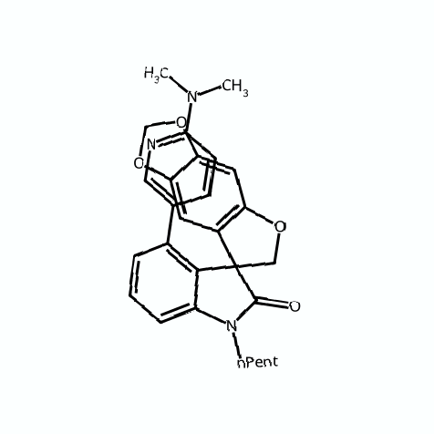 CCCCCN1C(=O)C2(COc3cc4c(cc32)OCO4)c2c(-c3ccc(N(C)C)nc3)cccc21